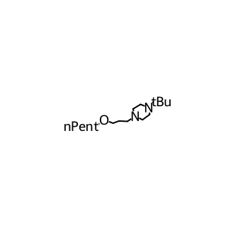 CCCCCOCCCN1CCN(C(C)(C)C)CC1